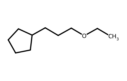 CCOCCCC1CCCC1